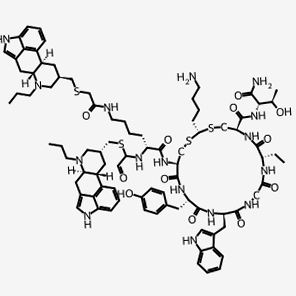 CCCN1C[C@H](CSCC(=O)NCCCC[C@@H](NC(C=O)SC[C@@H]2C[C@@H]3c4cccc5[nH]cc(c45)C[C@H]3N(CCC)C2)C(=O)N[C@H]2CS[C@H](CCCCN)SC[C@@H](C(=O)N[C@H](C(N)=O)[C@@H](C)O)NC(=O)[C@H](CC)NC(=O)CNC(=O)[C@@H](Cc3c[nH]c4ccccc34)NC(=O)[C@H](Cc3ccc(O)cc3)NC2=O)C[C@@H]2c3cccc4[nH]cc(c34)C[C@H]21